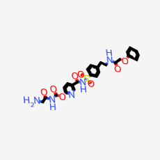 NCC(=O)NC(=O)Oc1ccc(C(=O)NS(=O)(=O)c2ccc(CCNC(=O)COc3ccccc3)cc2)cn1